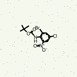 CC(C)(C)OC(=O)Nc1c(Br)cc(Cl)cc1[N+](=O)[O-]